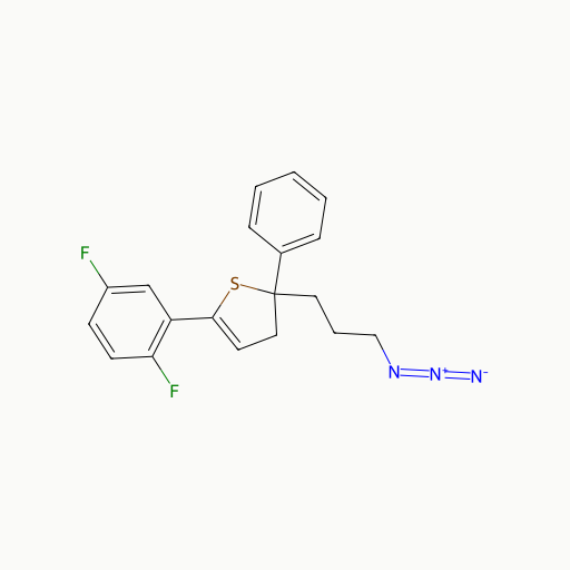 [N-]=[N+]=NCCCC1(c2ccccc2)CC=C(c2cc(F)ccc2F)S1